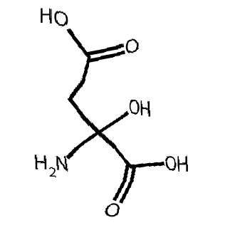 NC(O)(CC(=O)O)C(=O)O